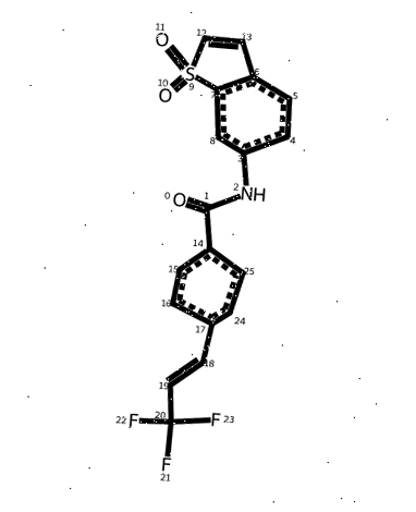 O=C(Nc1ccc2c(c1)S(=O)(=O)C=C2)c1ccc(/C=C/C(F)(F)F)cc1